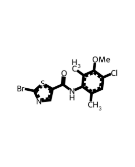 COc1c(Cl)cc(C)c(NC(=O)c2cnc(Br)s2)c1C